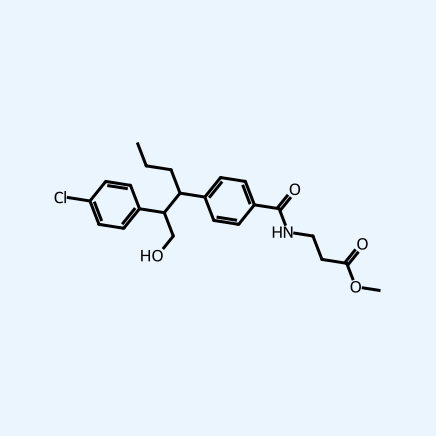 CCCC(c1ccc(C(=O)NCCC(=O)OC)cc1)C(CO)c1ccc(Cl)cc1